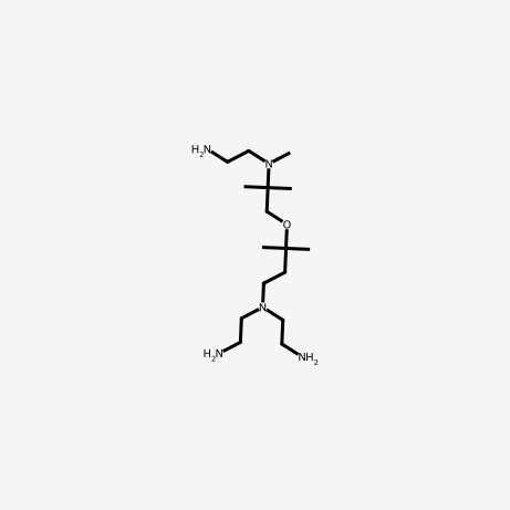 CN(CCN)C(C)(C)COC(C)(C)CCN(CCN)CCN